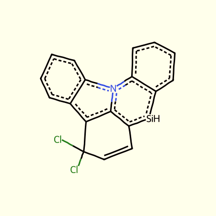 ClC1(Cl)C=Cc2[siH]c3ccccc3n3c2c1c1ccccc13